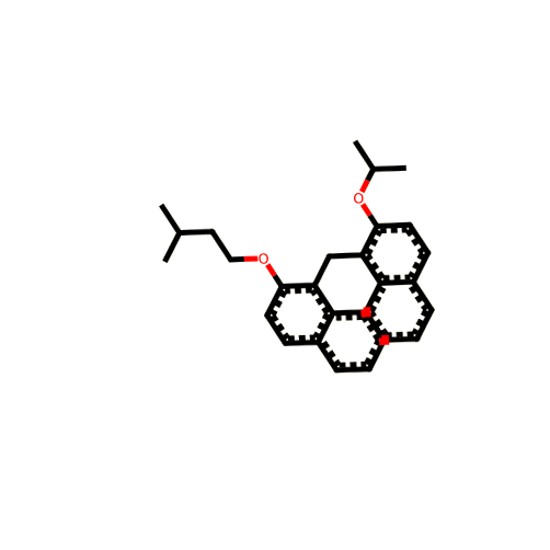 CC(C)CCOc1ccc2ccccc2c1Cc1c(OC(C)C)ccc2ccccc12